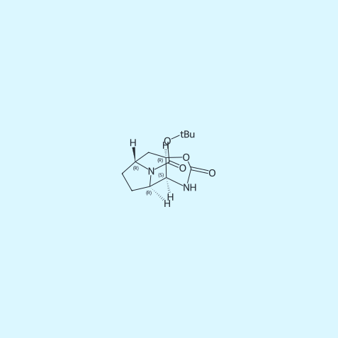 CC(C)(C)OC(=O)N1[C@@H]2CC[C@@H]1[C@@H]1NC(=O)O[C@@H]1C2